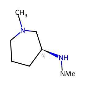 CNN[C@H]1CCCN(C)C1